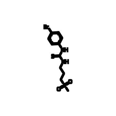 CS(=O)(=O)CCCNC(=S)Nc1ccc(Br)cc1